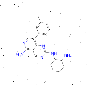 Cc1cccc(-c2cnc(N)c3cnc(NC4CCCCC4N)nc23)c1